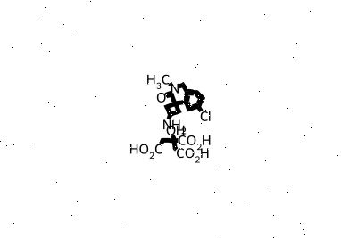 CN1Cc2ccc(Cl)cc2C2(CC(N)C2)C1=O.O=C(O)CC(O)(CC(=O)O)C(=O)O